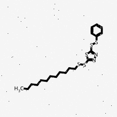 CCCCCCCCCCCCSSc1nnc(SSc2ccccc2)s1